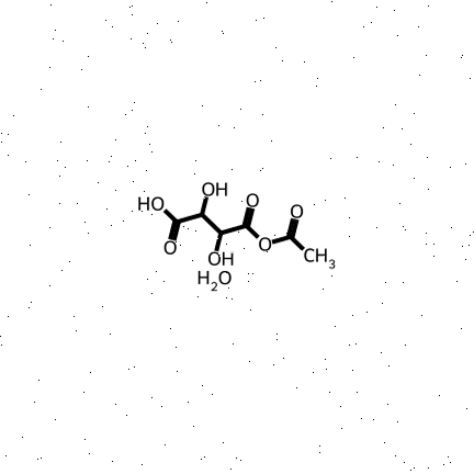 CC(=O)OC(=O)C(O)C(O)C(=O)O.O